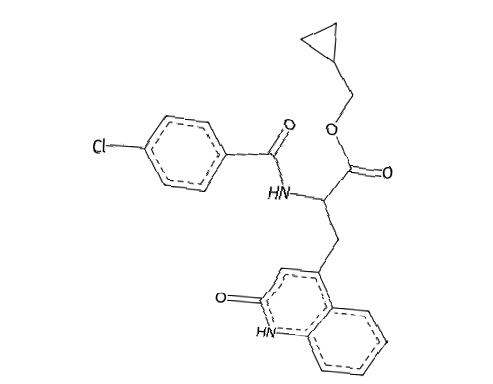 O=C(NC(Cc1cc(=O)[nH]c2ccccc12)C(=O)OCC1CC1)c1ccc(Cl)cc1